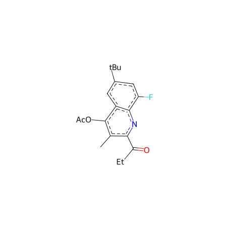 CCC(=O)c1nc2c(F)cc(C(C)(C)C)cc2c(OC(C)=O)c1C